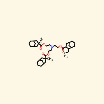 CCC1C2CCCC(C2)CC1C(=O)OCCN(CCOC(=O)C1(C)CC2CCCC(C2)C1)CCOC(=O)C1(C)CC2CCCC(C2)C1